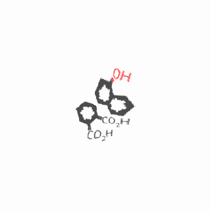 O=C(O)c1ccccc1C(=O)O.Oc1cccc2ccccc12